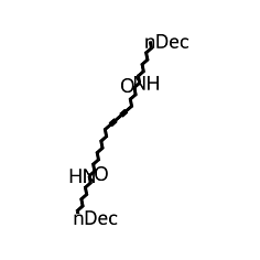 CCCCCCCCCCCCCCCCNC(=O)CCCC#CC#CCCCCCCCC(=O)NCCCCCCCCCCCCCCCC